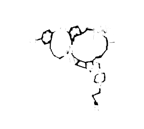 CO[C@@]1(CN2CCN(CCC#N)CC2)/C=C/C[C@H](C)[C@@H](C)S(=O)(=O)NC(=O)c2ccc3c(c2)N(CCCCc2cc(Cl)ccc2CO3)C[C@@H]2CC[C@H]21